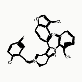 CCc1cccc(CC)c1-n1nc2c(c1-c1ccc3[nH]cc(Cl)c3c1)CN(Cc1cc(F)ccc1Cl)CC2